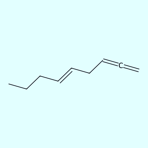 C=C=CCC=CCCC